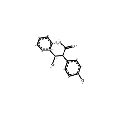 NC(=O)C(c1ccc(Cl)cc1)C(S)c1ccccc1